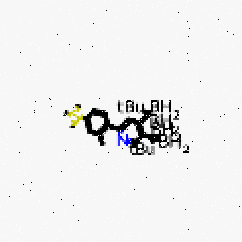 BC(B)(c1cnc(-c2ccc(S(C)(C)C)cc2C)cc1C(B)(B)C(C)(C)C)C(C)(C)C